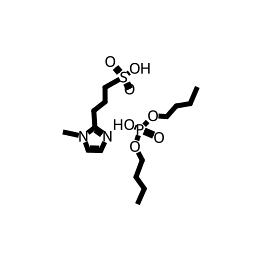 CCCCOP(=O)(O)OCCCC.Cn1ccnc1CCCS(=O)(=O)O